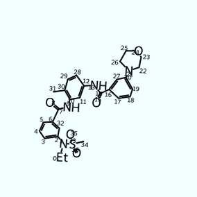 CCN(c1cccc(C(=O)Nc2cc(NC(=O)c3cccc(N4CCOCC4)c3)ccc2C)c1)S(C)(=O)=O